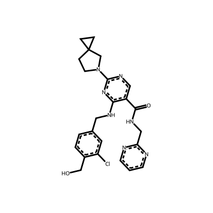 O=C(NCc1ncccn1)c1cnc(N2CCC3(CC3)C2)nc1NCc1ccc(CO)c(Cl)c1